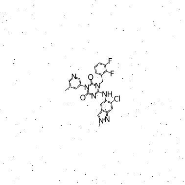 Cc1cncc(-n2c(=O)nc(Nc3cc4cn(C)nc4cc3Cl)n(Cc3cccc(F)c3F)c2=O)c1